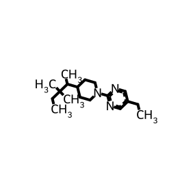 CCc1cnc(N2CCC(C(C)C(C)(C)CC)CC2)nc1